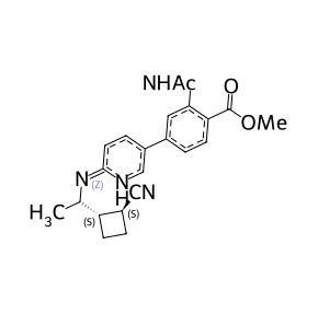 COC(=O)c1ccc(-c2cc/c(=N/C(C)[C@H]3CC[C@@H]3C#N)[nH]c2)cc1NC(C)=O